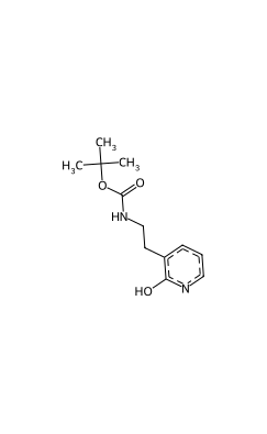 CC(C)(C)OC(=O)NCCc1cccnc1O